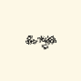 CC(C)[C@@H](COC(=O)N1CCC(N2C=CN(C(=O)C3C=CC=CC3=O)C2)CC1)N(Cc1ccccc1)Cc1ccccc1